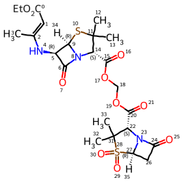 CCOC(=O)C=C(C)N[C@@H]1C(=O)N2[C@@H]1SC(C)(C)[C@@H]2C(=O)OCOC(=O)[C@@H]1N2C(=O)C[C@H]2S(=O)(=O)C1(C)C